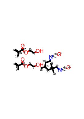 C=C(C)C(=O)OCCO.C=C(C)C(=O)OCCO.CC(CCN=C=O)CC(C)(C)CN=C=O